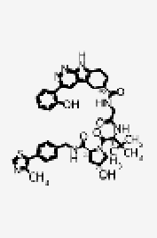 Cc1ncsc1-c1ccc(CNC(=O)[C@@H]2C[C@@H](O)CN2C(=O)[C@@H](NC(=O)CNC(=O)[C@@H]2CCc3[nH]c4nnc(-c5ccccc5O)cc4c3C2)C(C)(C)C)cc1